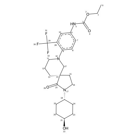 CCOC(=O)Nc1ccc(N2CCC[C@@]3(CCN([C@H]4CC[C@H](O)CC4)C3=O)C2)c(C(F)(F)F)c1